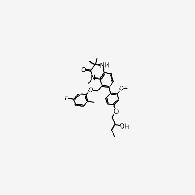 CCC(O)COc1ccc(-c2ccc3c(c2COc2cc(F)ccc2C)N(C)C(=O)C(C)(C)N3)c(OC)c1